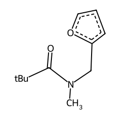 CN(Cc1ccco1)C(=O)C(C)(C)C